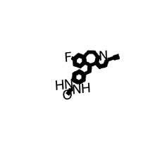 C#Cc1ccc2c(n1)CCc1cc(F)ccc1/C2=C\c1ccc2[nH]c(=O)[nH]c2c1